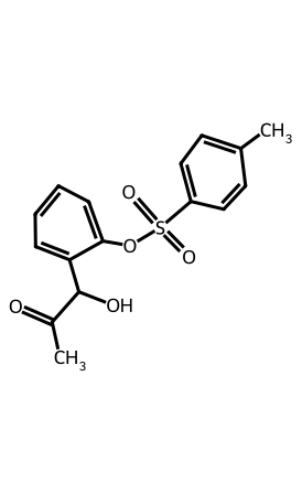 CC(=O)C(O)c1ccccc1OS(=O)(=O)c1ccc(C)cc1